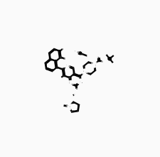 CN1CCC[C@H]1COc1nc(N2CCN(C(=O)OC(C)(C)C)[C@@H](CC#N)C2)c2cnc(-c3cccc4ccc(F)c(F)c34)c(F)c2n1